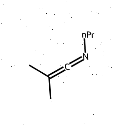 CCCN=C=C(C)C